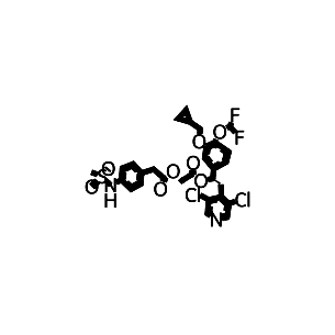 CS(=O)(=O)Nc1ccc(CC(=O)OCC(=O)O[C@@H](Cc2c(Cl)cncc2Cl)c2ccc(OC(F)F)c(OCC3CC3)c2)cc1